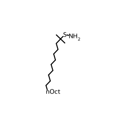 CCCCCCCCCCCCCCCCCC(C)(C)SN